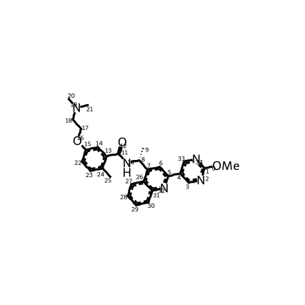 COc1ncc(-c2cc([C@@H](C)NC(=O)c3cc(OCCN(C)C)ccc3C)c3ccccc3n2)cn1